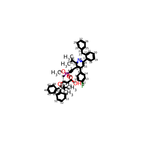 COP(=O)(C#Cc1c(-c2ccc(F)cc2)cc(-c2ccccc2Cc2ccccc2)nc1C(C)C)C[C@H](CC(=O)O)O[Si](c1ccccc1)(c1ccccc1)C(C)(C)C